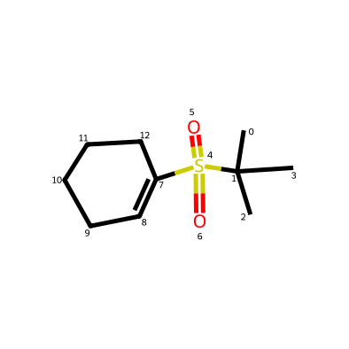 CC(C)(C)S(=O)(=O)C1=CCCCC1